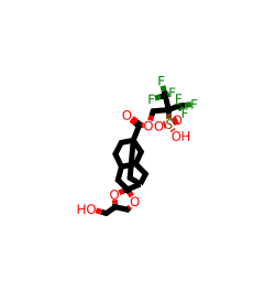 O=C(OCC(C(F)(F)F)(C(F)(F)F)S(=O)(=O)O)C12CCC3CC4(OCC(CO)O4)C(CC3C1)C2